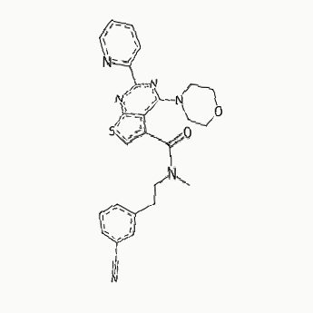 CN(CCc1cccc(C#N)c1)C(=O)c1csc2nc(-c3ccccn3)nc(N3CCOCC3)c12